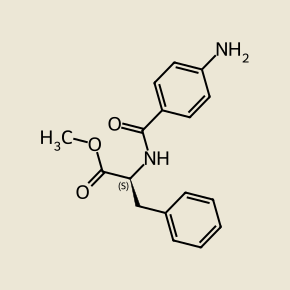 COC(=O)[C@H](Cc1ccccc1)NC(=O)c1ccc(N)cc1